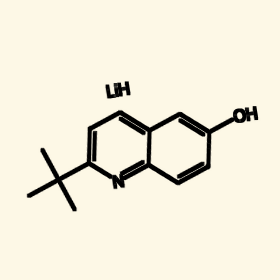 CC(C)(C)c1ccc2cc(O)ccc2n1.[LiH]